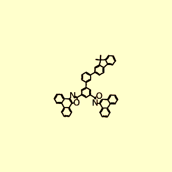 CC1(C)c2ccccc2-c2ccc(-c3cccc(-c4cc(-c5nc6c7ccccc7c7ccccc7c6o5)cc(-c5nc6c7ccccc7c7ccccc7c6o5)c4)c3)cc21